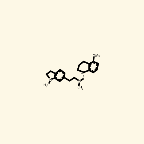 COc1cccc2c1CCC[C@H]2CN(C)CCc1ccc2c(c1)N(C)CC2